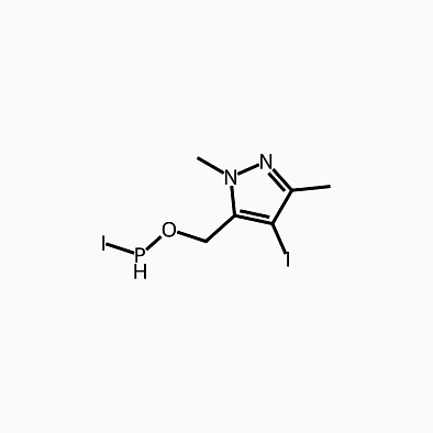 Cc1nn(C)c(COPI)c1I